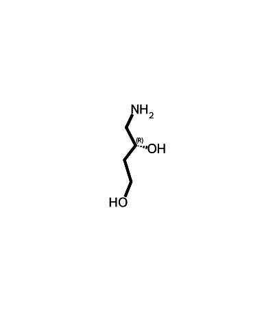 NC[C@H](O)CCO